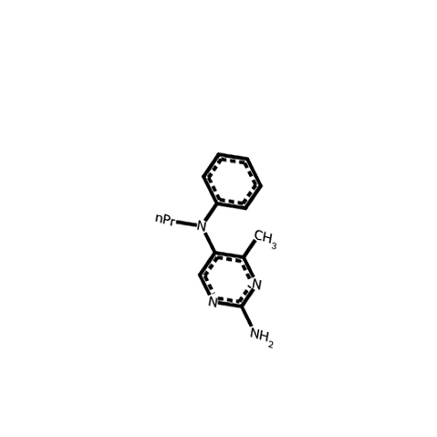 CCCN(c1ccccc1)c1cnc(N)nc1C